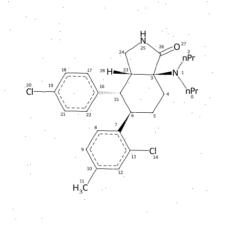 CCCN(CCC)[C@@]12CC[C@@H](c3ccc(C)cc3Cl)[C@H](c3ccc(Cl)cc3)[C@@H]1CNC2=O